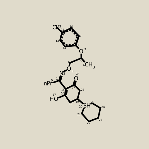 CCCC(=NOCC(C)Oc1ccc(Cl)cc1)C1=C(O)CC([SH]2CCCCC2)CC1=O